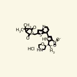 CC(c1[nH]c(-c2ccnc3cc(CN4C(=O)C5C(C4=O)C5(C)C)sc23)cc1[N+](=O)[O-])[C@@H]1CNCCO1.Cl